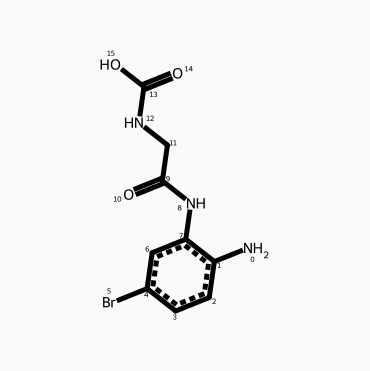 Nc1ccc(Br)cc1NC(=O)CNC(=O)O